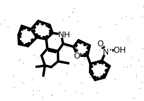 CC1CC(C)(C)CC2=C1C(c1ccc(-c3ccccc3[N+](=O)O)o1)Nc1ccc3ccccc3c12